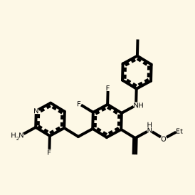 C=C(NOCC)c1cc(Cc2ccnc(N)c2F)c(F)c(F)c1Nc1ccc(C)cc1